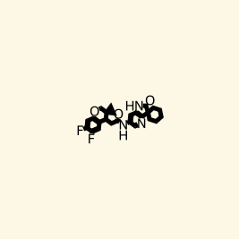 O=C(CC1c2cc(F)c(F)cc2OCC12CC2)Nc1cnc2c(c1)NC(=O)C21CCCCC1